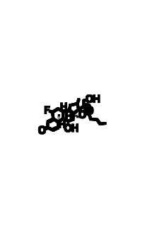 CCCCC(=O)O[C@@]1(C(=O)CO)C(C)C[C@H]2[C@@H]3CC(F)C4=CC(=O)C=C[C@]4(C)[C@H]3[C@@H](O)C[C@@]21C